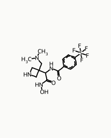 CN(C)CC1(C(NC(=O)c2ccc(S(F)(F)(F)(F)F)cc2)C(=O)NO)CNC1